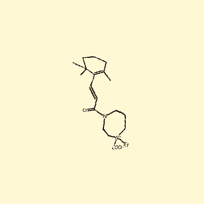 CC[N+]1(C(=O)[O-])CCCN(C(=O)C=CC2=C(C)CCCC2(C)C)CC1